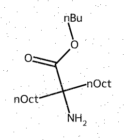 CCCCCCCCC(N)(CCCCCCCC)C(=O)OCCCC